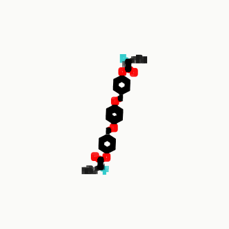 CCCC[C@H](F)C(=O)O[C@H]1CC[C@H](COc2ccc(OC[C@H]3CC[C@H](OC(=O)[C@@H](F)CCCC)CC3)cc2)CC1